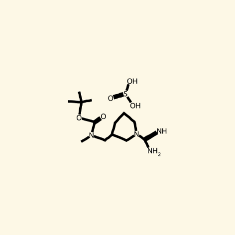 CN(CC1CCCN(C(=N)N)C1)C(=O)OC(C)(C)C.O=S(O)O